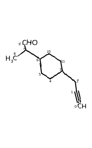 C#CCC1CCC(C(C)C=O)CC1